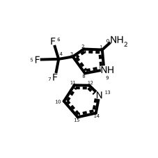 Nc1cc(C(F)(F)F)c[nH]1.c1ccncc1